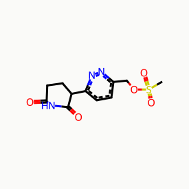 CS(=O)(=O)OCc1ccc(C2CCC(=O)NC2=O)nn1